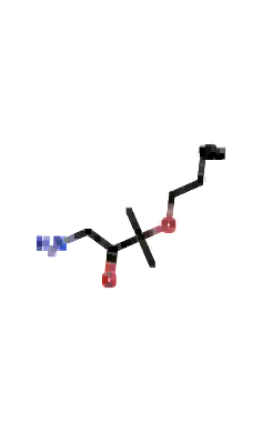 CC(C)(C)CCOC(C)(C)C(=O)CN